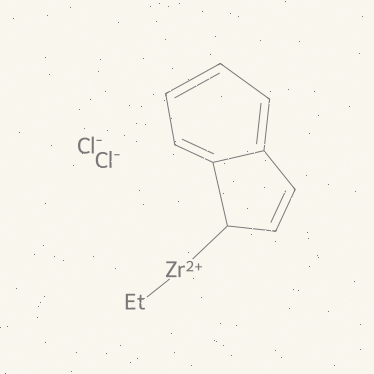 C[CH2][Zr+2][CH]1C=Cc2ccccc21.[Cl-].[Cl-]